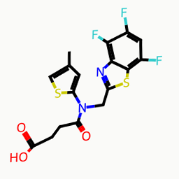 Cc1csc(N(Cc2nc3c(F)c(F)cc(F)c3s2)C(=O)CCC(=O)O)c1